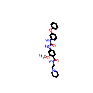 COc1cc(NC(=O)Nc2cccc(Oc3ccccc3)c2)ccc1C(=O)NCCN1CCCCC1